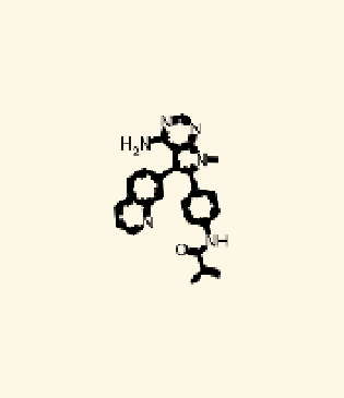 C=C(C)C(=O)Nc1ccc(-c2c(-c3ccc4cccnc4c3)c3c(N)ncnc3n2C)cc1